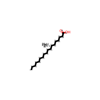 CCCCCCCCCCCCCCCCCC(=O)O.[PbH2].[Zn]